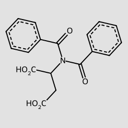 O=C(O)CC(C(=O)O)N(C(=O)c1ccccc1)C(=O)c1ccccc1